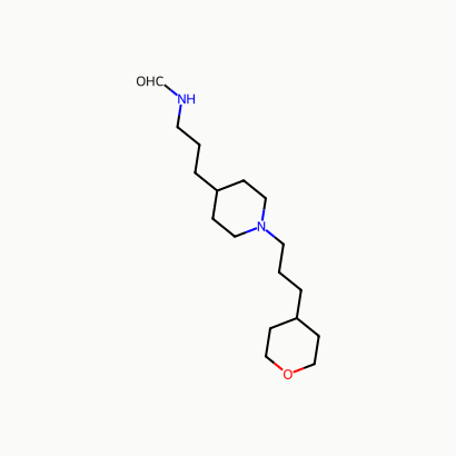 O=CNCCCC1CCN(CCCC2CCOCC2)CC1